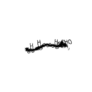 CN(CCC(=O)NCCOCCOCCOCCOCCC(=O)Nc1ccc(CCC(=O)NCCC(=O)C2CCC2)cc1)C(=O)C(CC=O)C1CCCC1